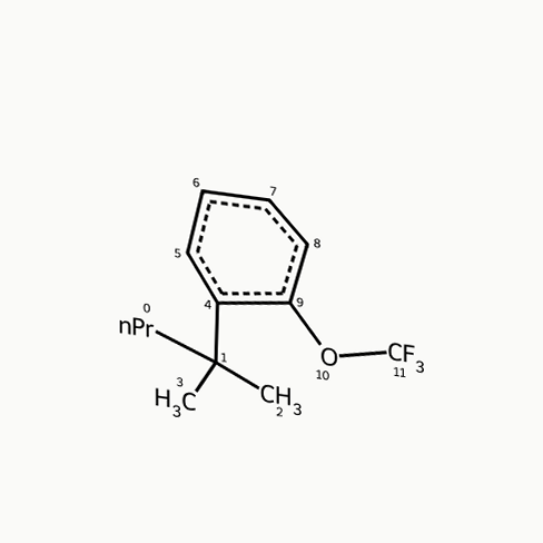 CCCC(C)(C)c1ccccc1OC(F)(F)F